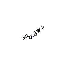 O=C(Cn1nnc(N2CCOCC2)n1)N/C=C/c1ccc(-c2cccc([N+](=O)[O-])c2)o1